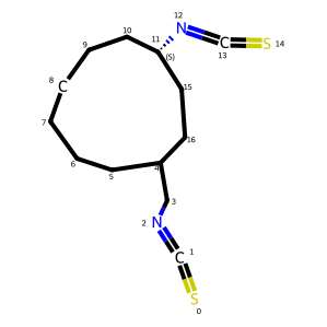 S=C=NCC1CCCCCC[C@H](N=C=S)CC1